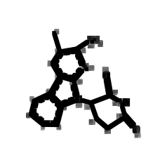 Cc1cc2c3ccccc3n(C3CCC(=O)NC3=O)c2nc1N